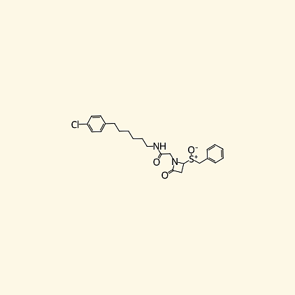 O=C(CN1C(=O)CC1[S+]([O-])Cc1ccccc1)NCCCCCCc1ccc(Cl)cc1